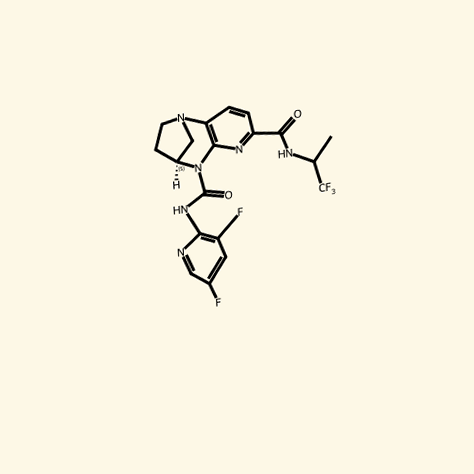 CC(NC(=O)c1ccc2c(n1)N(C(=O)Nc1ncc(F)cc1F)[C@H]1CCN2C1)C(F)(F)F